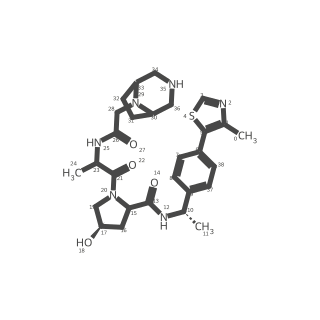 Cc1ncsc1-c1ccc([C@H](C)NC(=O)C2C[C@@H](O)CN2C(=O)C(C)NC(=O)CN2C3CCC2CNC3)cc1